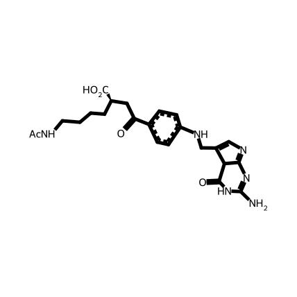 CC(=O)NCCCC[C@H](CC(=O)c1ccc(NCC2=CN=C3N=C(N)NC(=O)C23)cc1)C(=O)O